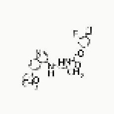 C=C(CCNc1ccnc2ccc(C(=O)OC)cc12)NC(=O)COc1ccc(Cl)c(F)c1